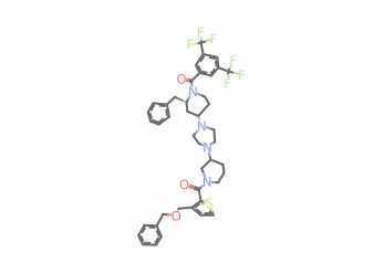 O=C(c1sccc1COCc1ccccc1)N1CCCC(N2CCN([C@H]3CCN(C(=O)c4cc(C(F)(F)F)cc(C(F)(F)F)c4)[C@H](Cc4ccccc4)C3)CC2)C1